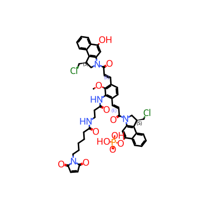 COc1c(/C=C/C(=O)N2C[C@@H](CCl)c3c2cc(O)c2ccccc32)ccc(/C=C/C(=O)N2C[C@@H](CCl)c3c2cc(OP(=O)(O)O)c2ccccc32)c1NC(=O)CCNC(=O)CCCCCN1C(=O)C=CC1=O